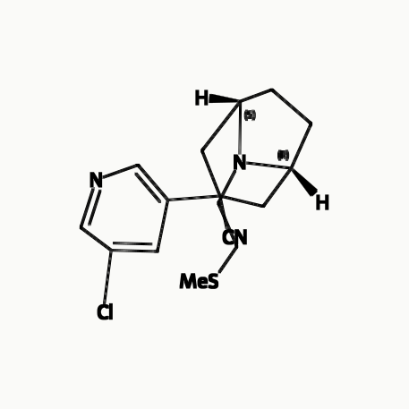 CSCCN1[C@@H]2CC[C@H]1CC(C#N)(c1cncc(Cl)c1)C2